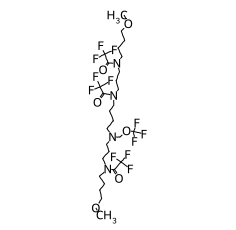 COCCCCN(CCCN(CCCCN(CCCN(CCCCOC)C(=O)C(F)(F)F)C(=O)C(F)(F)F)COC(F)(F)F)C(=O)C(F)(F)F